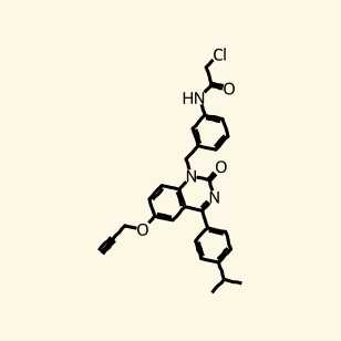 C#CCOc1ccc2c(c1)c(-c1ccc(C(C)C)cc1)nc(=O)n2Cc1cccc(NC(=O)CCl)c1